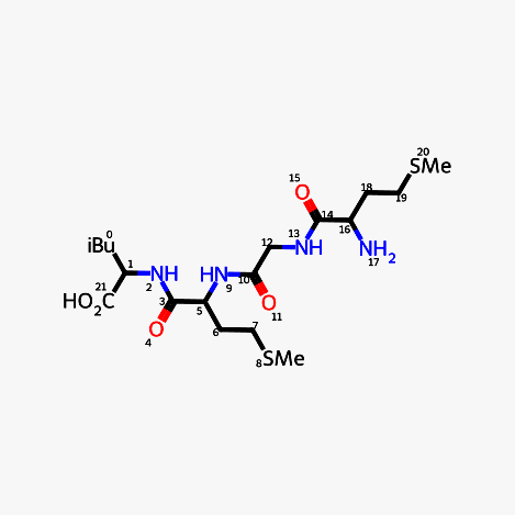 CCC(C)C(NC(=O)C(CCSC)NC(=O)CNC(=O)C(N)CCSC)C(=O)O